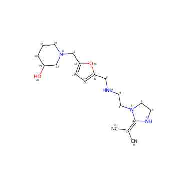 N#CC(C#N)=C1NCCN1CCNCc1ccc(CN2CCCC(O)C2)o1